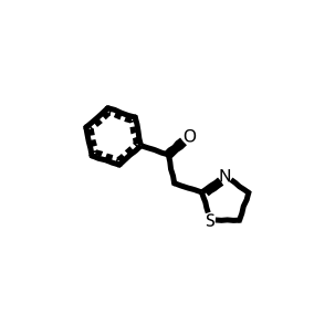 O=C(CC1=NCCS1)c1ccccc1